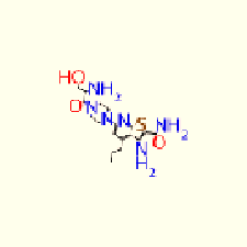 CCCc1cc(N2CCN(C(=O)C(N)CO)CC2)nc2sc(C(N)=O)c(N)c12